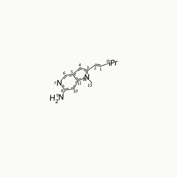 CC(C)/C=C/c1cc2cnc(N)cc2n1C